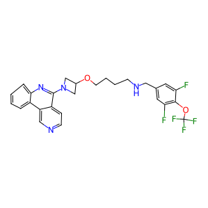 Fc1cc(CNCCCCOC2CN(c3nc4ccccc4c4cnccc34)C2)cc(F)c1OC(F)(F)F